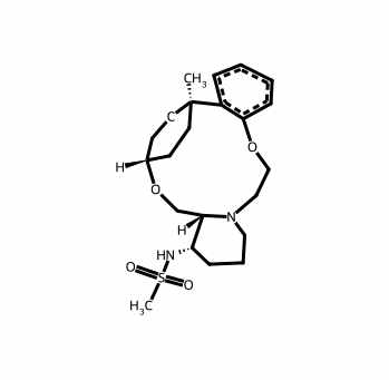 CS(=O)(=O)N[C@H]1CCCN2CCOc3ccccc3[C@]3(C)CC[C@H](CC3)OC[C@@H]12